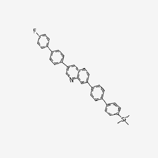 C[Si](C)(C)c1ccc(-c2ccc(-c3ccc4cc(-c5ccc(-c6ccc(F)cc6)cc5)cnc4c3)cc2)cc1